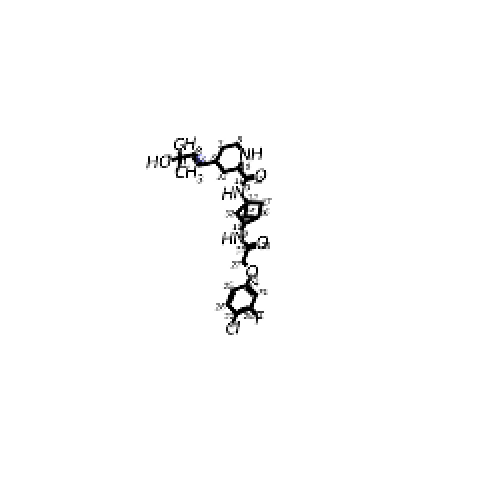 CC(C)(O)/C=C/C1CCNC(C(=O)NC23CC(C2)C(NC(=O)COc2ccc(Cl)c(F)c2)C3)C1